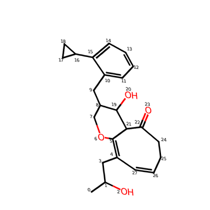 CC(O)CC1=C2OCC(Cc3ccccc3C3CC3)C(O)C2C(=O)CCC=C1